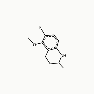 COc1c(F)ccc2c1CCC(C)N2